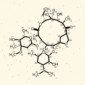 CC[C@H]1OC(=O)[C@H](C)[C@@H](O[C@H]2C[C@@](C)(OC)[C@@H](O)[C@H](C)O2)[C@H](C)[C@@H](O[C@@H]2O[C@H](C)C[C@H](N(C)C)[C@@H]2O)[C@@]2(C)C[C@@H](CO2)C(=O)[C@H](C)[C@@H](O)[C@]1(C)O